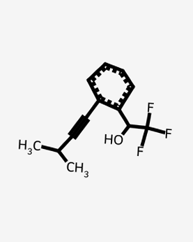 CC(C)C#Cc1ccccc1C(O)C(F)(F)F